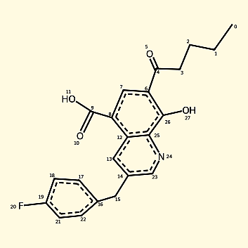 CCCCC(=O)c1cc(C(=O)O)c2cc(Cc3ccc(F)cc3)cnc2c1O